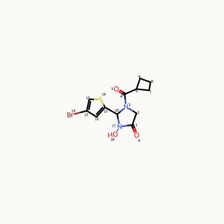 O=C1CN(C(=O)C2CCC2)C(c2cc(Br)cs2)N1O